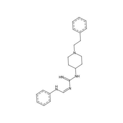 N=C(/N=C\Nc1ccccc1)NC1CCN(CCc2ccccc2)CC1